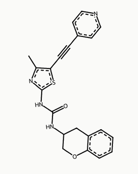 Cc1nc(NC(=O)NC2COc3ccccc3C2)sc1C#Cc1ccncc1